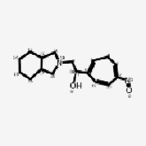 O=NC1=CCC=C([C@@H](O)CN2CC3CCCCC3C2)C=C1